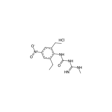 CCc1cc([N+](=O)[O-])cc(CC)c1NC(=O)NC(=N)NC.Cl